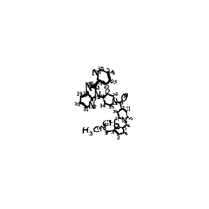 CN(C)CC1=CCC(CN2CCC(C(=O)N3CCC(n4c(-c5ccccn5)nc5cccnc54)CC3)CC2)O1